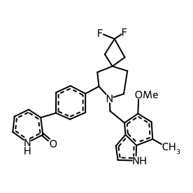 COc1cc(C)c2[nH]ccc2c1CN1CCC2(CC1c1ccc(-c3ccc[nH]c3=O)cc1)CC(F)(F)C2